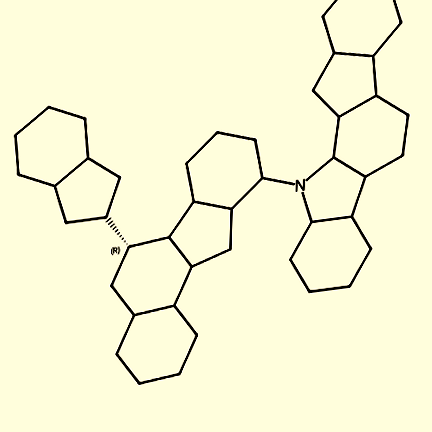 C1CCC2CC([C@H]3CC4CCCCC4C4CC5C(CCCC5N5C6CCCCC6C6CCC7C8CCCCC8CC7C65)C43)CC2C1